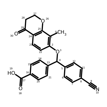 Cc1c(OC(c2ccc(C#N)cc2)c2ccc(C(=O)O)cc2)ccc2c1OCCC2=O